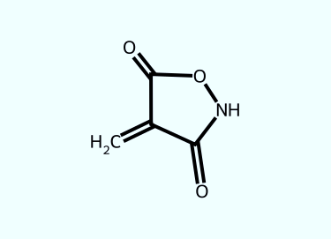 C=C1C(=O)NOC1=O